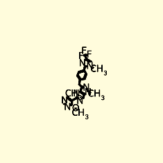 COc1ncnc(C)c1-c1ncc2c(n1)c(Cc1ccc(-c3nc(C(F)(F)F)cn3C)cc1)nn2C